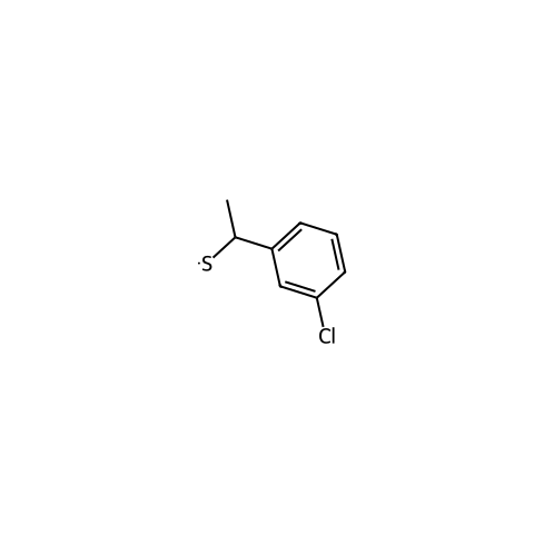 CC([S])c1cccc(Cl)c1